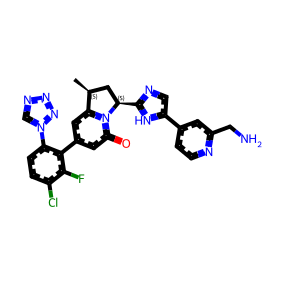 C[C@H]1C[C@@H](c2ncc(-c3ccnc(CN)c3)[nH]2)n2c1cc(-c1c(-n3cnnn3)ccc(Cl)c1F)cc2=O